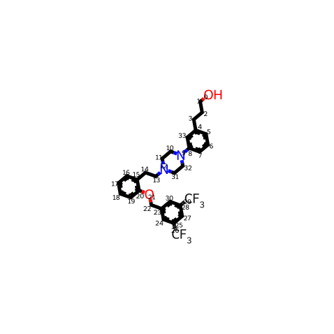 OCCCc1cccc(N2CCN(CCc3ccccc3OCc3cc(C(F)(F)F)cc(C(F)(F)F)c3)CC2)c1